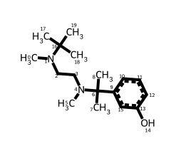 CN(CCN(C)C(C)(C)c1cccc(O)c1)C(C)(C)C